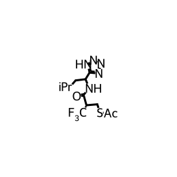 CC(=O)SC[C@H](C(=O)NC(CC(C)C)c1nnn[nH]1)C(F)(F)F